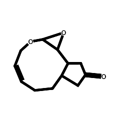 O=C1CC2CCC=CCOC3OC3C2C1